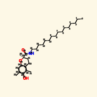 CCCCCCCCCCCCCCCCNC(=O)[C@@]1(C)CCc2c(cc(C)c(O)c2C)O1